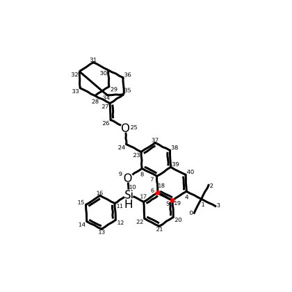 CC(C)(C)c1ccc2c(O[SiH](c3ccccc3)c3ccccc3)c(COC=C3C4CC5CC(C4)CC3C5)ccc2c1